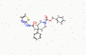 O=C(CC1(c2ccccc2)CCN(C(=O)OCc2ccccc2)CC1)Nc1nccs1